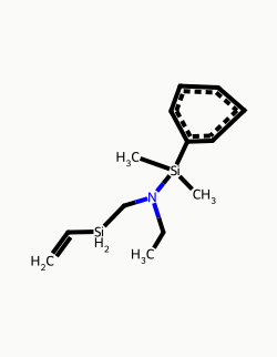 C=C[SiH2]CN(CC)[Si](C)(C)c1ccccc1